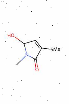 CSC1=CC(O)N(C)C1=O